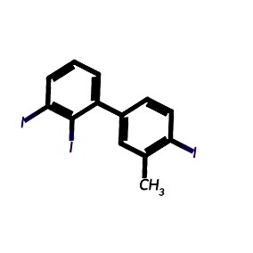 Cc1cc(-c2cccc(I)c2I)ccc1I